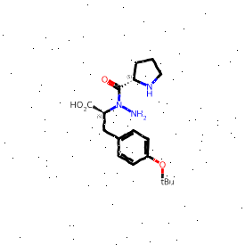 CC(C)(C)Oc1ccc(C[C@@H](C(=O)O)N(N)C(=O)[C@@H]2CCCN2)cc1